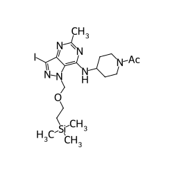 CC(=O)N1CCC(Nc2nc(C)nc3c(I)nn(COCC[Si](C)(C)C)c23)CC1